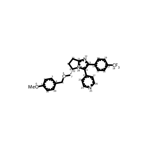 COc1ccc(COC[C@@H]2CCc3nc(-c4ccc(C(F)(F)F)cc4)c(-c4ccncc4)n32)cc1